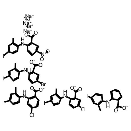 Cc1cc(I)ccc1Nc1cc(Cl)ccc1C(=O)[O-].Cc1cc(I)ccc1Nc1ccc(Br)cc1C(=O)[O-].Cc1cc(I)ccc1Nc1ccc(Cl)cc1C(=O)[O-].Cc1cc(I)ccc1Nc1ccc([N+](=O)[O-])cc1C(=O)[O-].Cc1cc(I)ccc1Nc1ccccc1C(=O)[O-].[Na+].[Na+].[Na+].[Na+].[Na+]